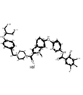 Br.Cc1c(F)cc(C(=O)Nc2ccc(Oc3ccc4cc(C(=O)N5CCN(Cc6ccc(OC(CF)CF)cc6)CC5)n(C)c4c3)nc2)c(F)c1F